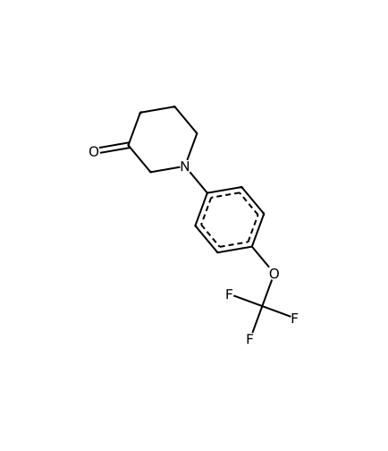 O=C1CCCN(c2ccc(OC(F)(F)F)cc2)C1